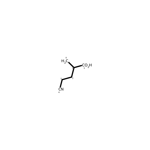 [CH2]C(CCC#N)C(=O)O